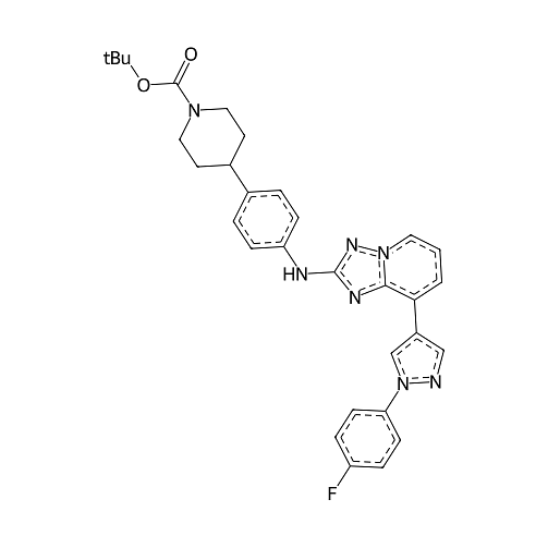 CC(C)(C)OC(=O)N1CCC(c2ccc(Nc3nc4c(-c5cnn(-c6ccc(F)cc6)c5)cccn4n3)cc2)CC1